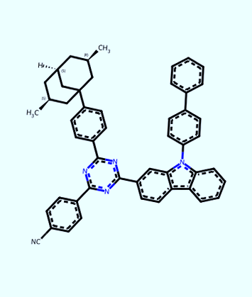 C[C@@H]1C[C@@H]2C[C@H](C)CC(c3ccc(-c4nc(-c5ccc(C#N)cc5)nc(-c5ccc6c7ccccc7n(-c7ccc(-c8ccccc8)cc7)c6c5)n4)cc3)(C1)C2